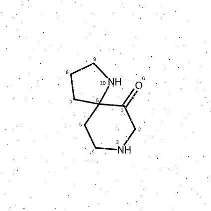 O=C1CNCCC12CCCN2